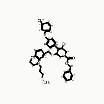 COCCCN1CCOc2ccc(COC3CN(C(=O)OCc4ccccc4)CC(O)C3c3ccc(Oc4cccc(Cl)c4)cc3)cc21